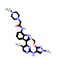 CCOc1nn(C)cc1Nc1ncc(C)c(-c2c[nH]c3c(NC(=O)CN4CCN(C)CC4)cccc23)n1